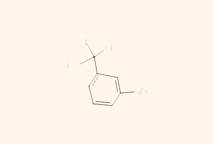 CCCCc1cccc(C(C)(C)Cl)c1